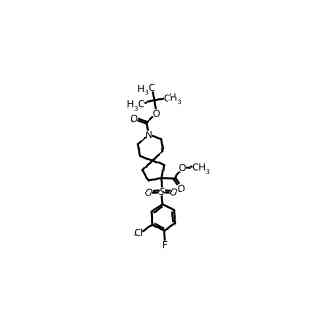 COC(=O)C1(S(=O)(=O)c2ccc(F)c(Cl)c2)CCC2(CCN(C(=O)OC(C)(C)C)CC2)C1